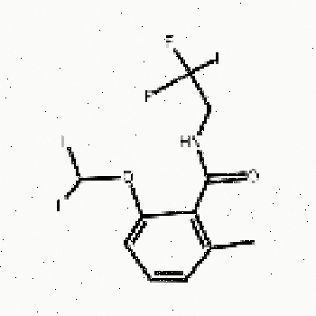 Cc1cccc(OC(F)F)c1C(=O)NCC(F)(F)F